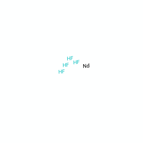 F.F.F.F.[Nd]